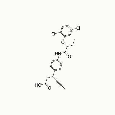 CC#CC(CC(=O)O)c1ccc(NC(=O)C(CC)Oc2cc(Cl)ccc2Cl)cc1